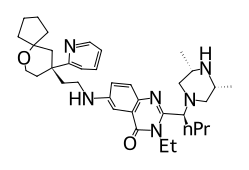 CCC[C@@H](c1nc2ccc(NCC[C@@]3(c4ccccn4)CCOC4(CCCC4)C3)cc2c(=O)n1CC)N1C[C@@H](C)N[C@@H](C)C1